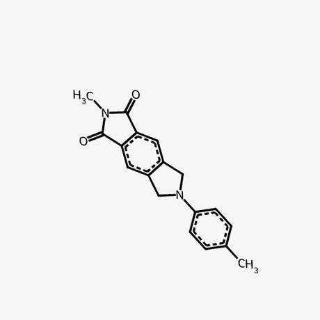 Cc1ccc(N2Cc3cc4c(cc3C2)C(=O)N(C)C4=O)cc1